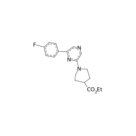 CCOC(=O)C1CCN(c2cncc(-c3ccc(F)cc3)n2)CC1